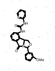 COc1cccc(C2OCC3c4c(NC(=O)Nc5ccccn5)cccc4C(=O)N32)c1